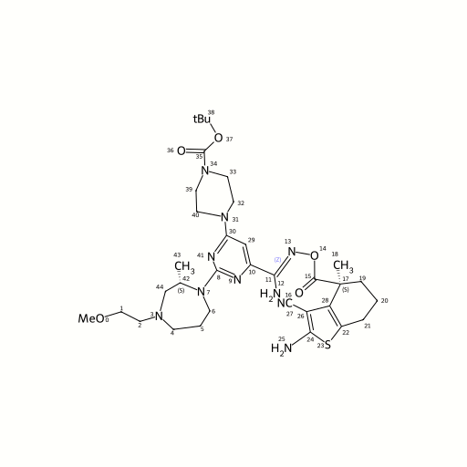 COCCN1CCCN(c2nc(/C(N)=N/OC(=O)[C@@]3(C)CCCc4sc(N)c(C#N)c43)cc(N3CCN(C(=O)OC(C)(C)C)CC3)n2)[C@@H](C)C1